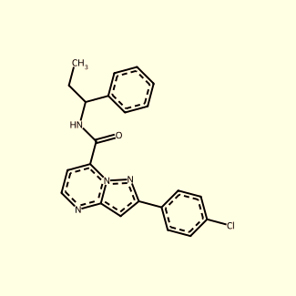 CCC(NC(=O)c1ccnc2cc(-c3ccc(Cl)cc3)nn12)c1ccccc1